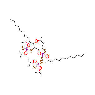 CCCCCCCCCCC(CSP(=S)(OC(C)C)OC(C)C)OP(=S)(OCC(CCCCCCCCCC)SP(=S)(OC(C)C)OC(C)C)SCCC(C)=O